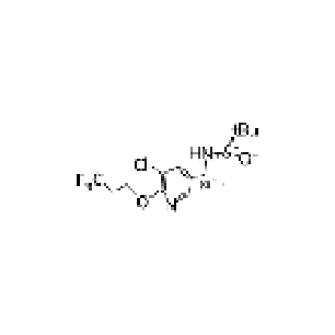 C[C@@H](N[S@+]([O-])C(C)(C)C)c1cnc(OCCC(F)(F)F)c(Cl)c1